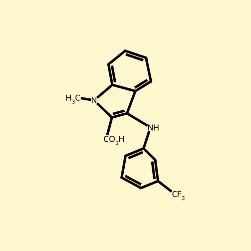 Cn1c(C(=O)O)c(Nc2cccc(C(F)(F)F)c2)c2ccccc21